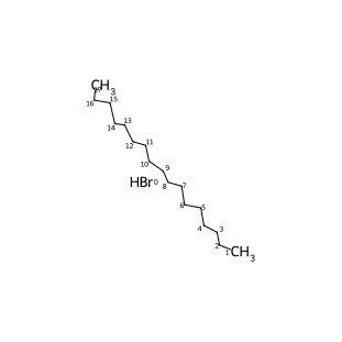 Br.CCCCCCCCCCCCCCCCC